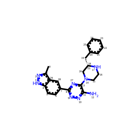 Cc1n[nH]c2ccc(-c3nnc(N)c(N4CCN[C@@H](Cc5ccccc5)C4)n3)cc12